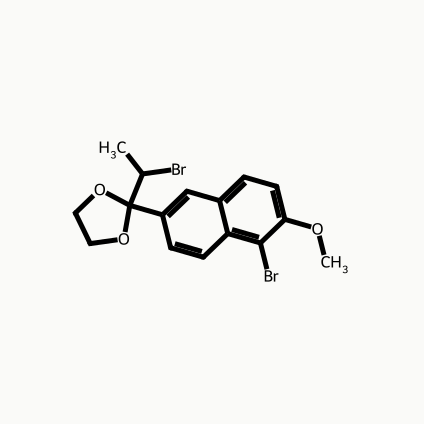 COc1ccc2cc(C3(C(C)Br)OCCO3)ccc2c1Br